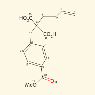 C=CCCC(Cc1ccc(C(=O)OC)cc1)(C(=O)O)C(=O)O